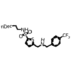 CCCCCCCCCCCCNS(=O)(=O)c1ccc(CNCc2ccc(C(F)(F)F)cc2)s1